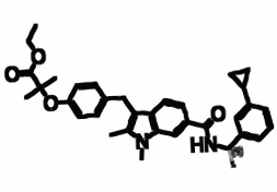 CCOC(=O)C(C)(C)Oc1ccc(Cc2c(C)n(C)c3cc(C(=O)N[C@@H](C)c4cccc(C5CC5)c4)ccc23)cc1